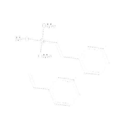 C=Cc1ccccc1.CO[Si](C=Cc1ccccc1)(OC)OC